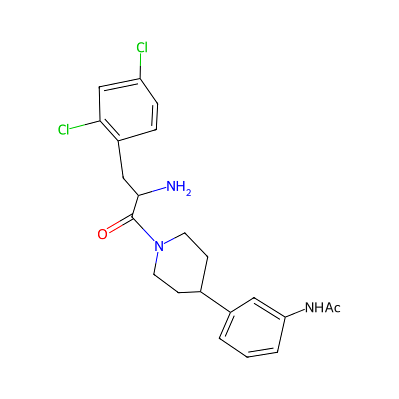 CC(=O)Nc1cccc(C2CCN(C(=O)C(N)Cc3ccc(Cl)cc3Cl)CC2)c1